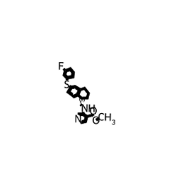 COC(=O)c1ccncc1NC[C@H]1CCCc2cc(Sc3cccc(F)c3)ccc21